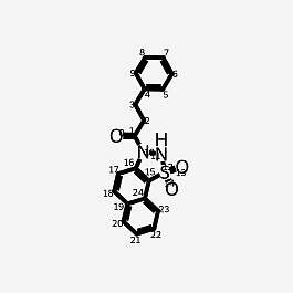 O=C(CCc1ccccc1)N1NS(=O)(=O)c2c1ccc1ccccc21